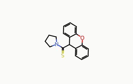 S=C(C1c2ccccc2Oc2ccccc21)N1CCCC1